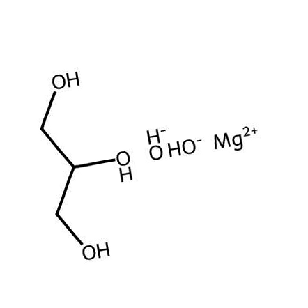 OCC(O)CO.[Mg+2].[OH-].[OH-]